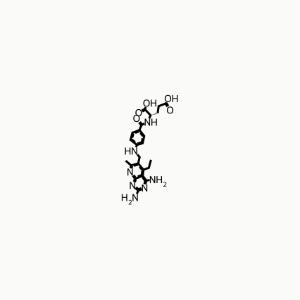 CCc1c(CNc2ccc(C(=O)N[C@@H](CCC(=O)O)C(=O)O)cc2)c(C)nc2nc(N)nc(N)c12